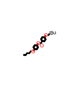 C=CCCCOc1ccc(OC(=O)c2ccc(OCC(C)CC)cc2)cc1